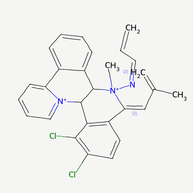 C=C/C=N\[N+]1(C)/C(=C\C(=C)C)c2ccc(Cl)c(Cl)c2C2C1c1ccccc1-c1cccc[n+]12